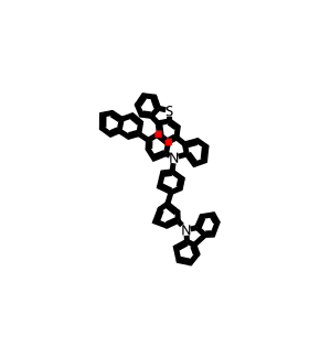 c1cc(-c2ccc(N(c3ccc(-c4ccc5ccccc5c4)cc3)c3ccccc3-c3ccc4c(c3)sc3ccccc34)cc2)cc(-n2c3ccccc3c3ccccc32)c1